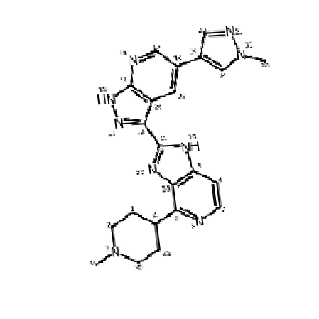 CN1CCC(c2nccc3[nH]c(-c4n[nH]c5ncc(-c6cnn(C)c6)cc45)nc23)CC1